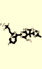 Cc1noc(C2(C)C(=O)Nc3nc(-c4nc(CCC(F)(F)C(F)(F)F)n5cc(F)ccc45)nc(N)c32)n1